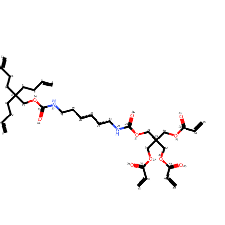 C=CCCC(CCC=C)(CCC=C)COC(=O)NCCCCCCNC(=O)OCC(COC(=O)C=C)(COC(=O)C=C)COC(=O)C=C